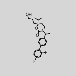 CC(c1ccc(-c2ccc(F)cc2F)cc1)N1CCC(CCCO)(C(C)C)OC1=O